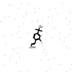 CO/C=C/c1ccc(C(C)(C)O)cc1F